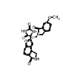 COc1ccc2c(c1)C(=O)N(C[C@@]1(c3cc4c5c(ccc4o3)C(=O)NC5)NC(=O)NC1=O)C2